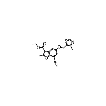 CCOC(=O)c1c(C)oc2c(C#N)cc(OCc3scnc3C)cc12